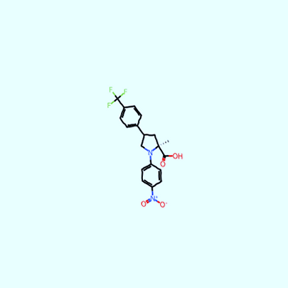 C[C@@]1(C(=O)O)CC(c2ccc(C(F)(F)F)cc2)CN1c1ccc([N+](=O)[O-])cc1